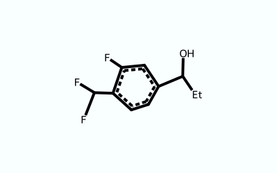 CCC(O)c1ccc(C(F)F)c(F)c1